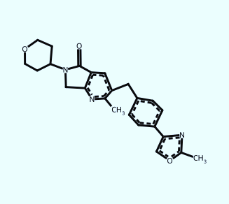 Cc1nc(-c2ccc(Cc3cc4c(nc3C)CN(C3CCOCC3)C4=O)cc2)co1